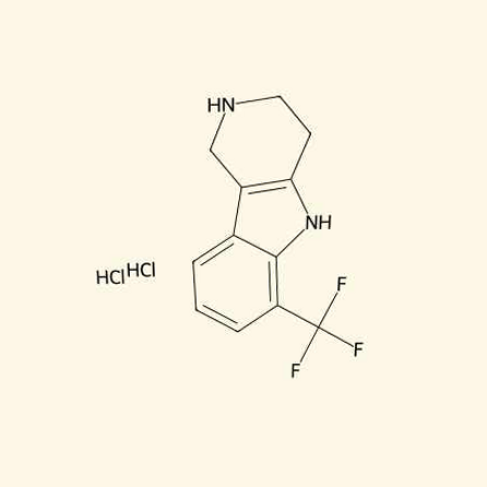 Cl.Cl.FC(F)(F)c1cccc2c3c([nH]c12)CCNC3